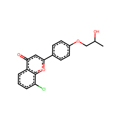 CC(O)COc1ccc(-c2cc(=O)c3cccc(Cl)c3o2)cc1